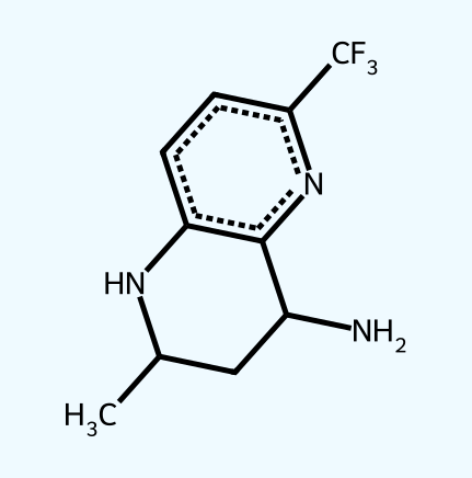 CC1CC(N)c2nc(C(F)(F)F)ccc2N1